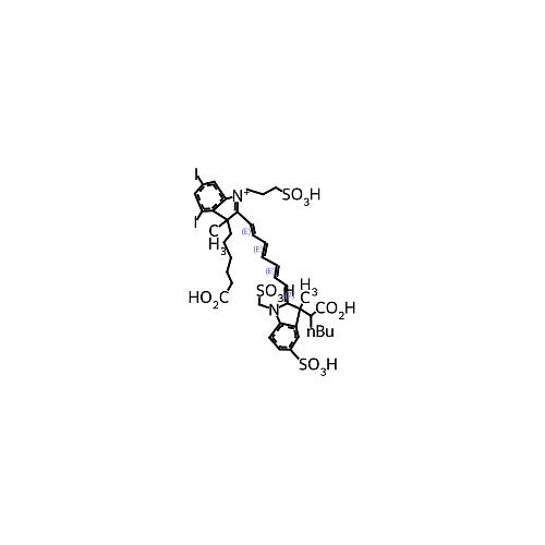 CCCCC(C(=O)O)C1(C)/C(=C/C=C/C=C/C=C/C2=[N+](CCCS(=O)(=O)O)c3cc(I)cc(I)c3C2(C)CCCCCC(=O)O)N(CS(=O)(=O)O)c2ccc(S(=O)(=O)O)cc21